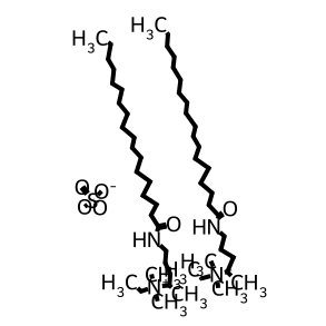 CCCCCCCCCCCCCCCCCC(=O)NCCCC(C)[N+](C)(C)CC.CCCCCCCCCCCCCCCCCC(=O)NCCCC(C)[N+](C)(C)CC.O=S(=O)([O-])[O-]